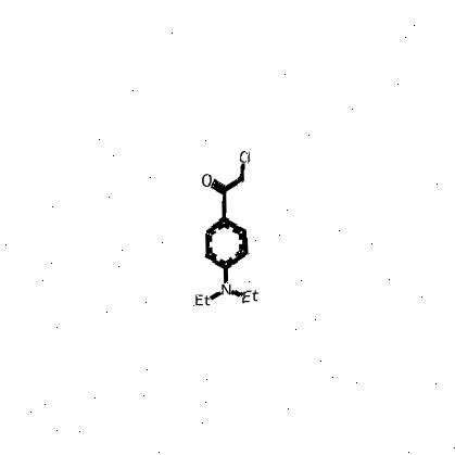 CCN(CC)c1ccc(C(=O)CCl)cc1